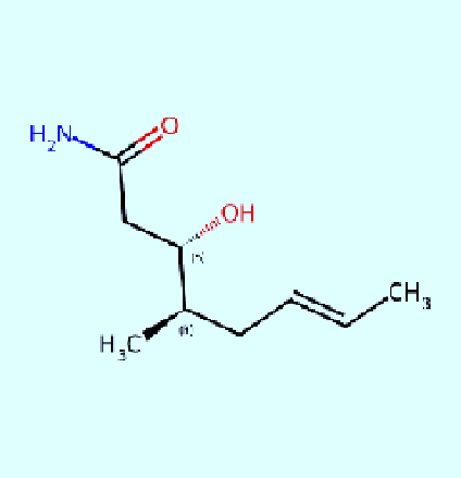 CC=CC[C@@H](C)[C@@H](O)CC(N)=O